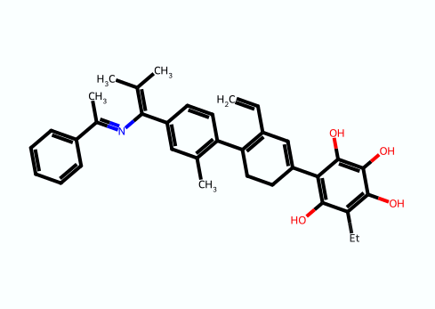 C=CC1=C(c2ccc(C(/N=C(\C)c3ccccc3)=C(C)C)cc2C)CCC(c2c(O)c(O)c(O)c(CC)c2O)=C1